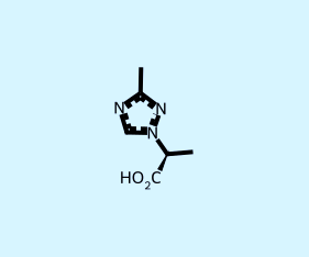 Cc1ncn([C@@H](C)C(=O)O)n1